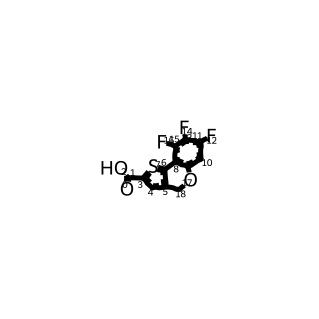 O=C(O)c1cc2c(s1)-c1c(cc(F)c(F)c1F)OC2